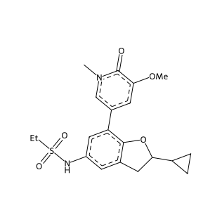 CCS(=O)(=O)Nc1cc2c(c(-c3cc(OC)c(=O)n(C)c3)c1)OC(C1CC1)C2